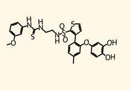 COc1cccc(NC(=S)NCCNS(=O)(=O)c2sccc2-c2ccc(C)cc2Oc2ccc(O)c(O)c2)c1